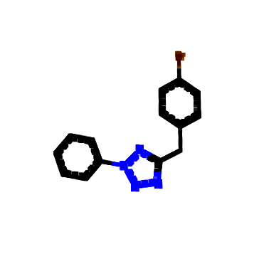 Brc1ccc(Cc2nnn(-c3ccccc3)n2)cc1